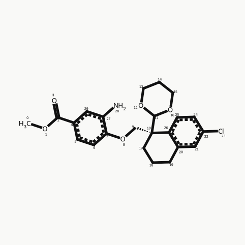 COC(=O)c1ccc(OC[C@@]2(C3OCCCO3)CCCc3cc(Cl)ccc32)c(N)c1